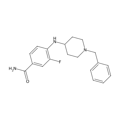 NC(=O)c1ccc(NC2CCN(Cc3ccccc3)CC2)c(F)c1